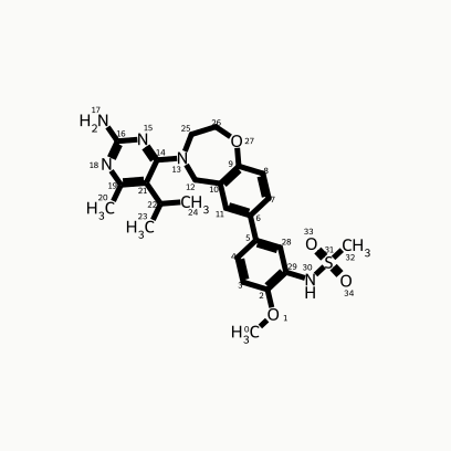 COc1ccc(-c2ccc3c(c2)CN(c2nc(N)nc(C)c2C(C)C)CCO3)cc1NS(C)(=O)=O